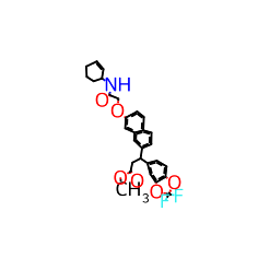 COC(=O)CC(c1ccc2c(c1)OC(F)(F)O2)c1ccc2ccc(OCC(=O)NC3C=CCCC3)cc2c1